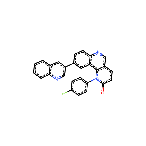 O=c1ccc2cnc3ccc(-c4cnc5ccccc5c4)cc3c2n1-c1ccc(F)cc1